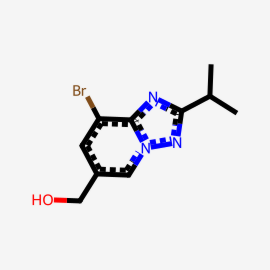 CC(C)c1nc2c(Br)cc(CO)cn2n1